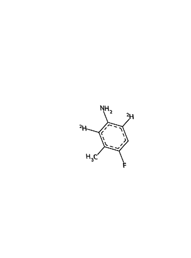 [2H]c1cc(F)c(C)c([2H])c1N